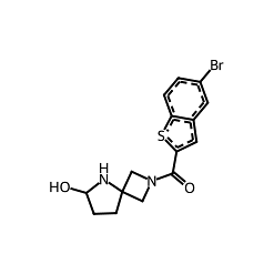 O=C(c1cc2cc(Br)ccc2s1)N1CC2(CCC(O)N2)C1